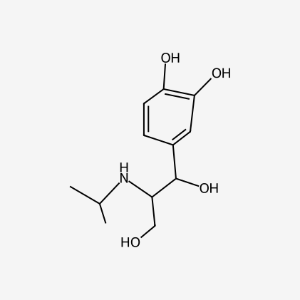 CC(C)NC(CO)C(O)c1ccc(O)c(O)c1